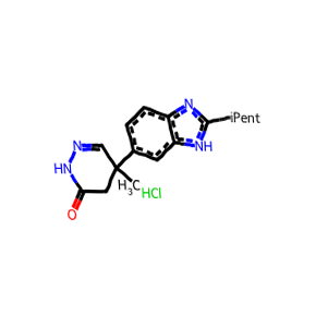 CCCC(C)c1nc2ccc(C3(C)C=NNC(=O)C3)cc2[nH]1.Cl